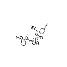 CC(C)Cc1cc(F)ccc1S(=O)(=O)NC[C@@H](O)[C@H](Cc1ccccc1)NC(=O)O